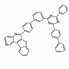 c1ccc(-c2ccc(-c3nc(-c4ccccc4)nc(-c4cccc(-c5ccc(-c6nc7ccncc7c7c6sc6ccccc67)cc5)c4)n3)cc2)cc1